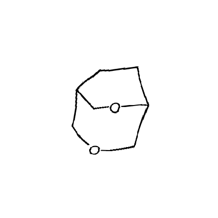 C1CC2COCC1CO2